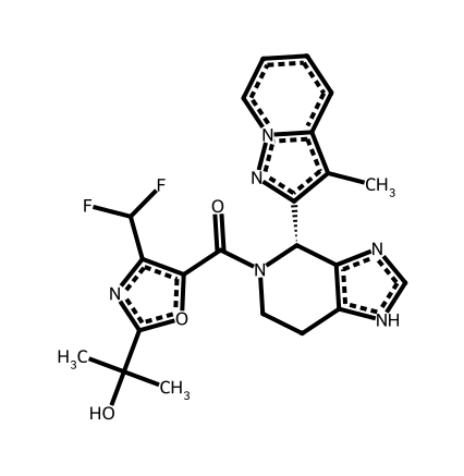 Cc1c([C@@H]2c3nc[nH]c3CCN2C(=O)c2oc(C(C)(C)O)nc2C(F)F)nn2ccccc12